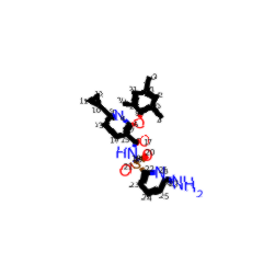 Cc1cc(C)c(Oc2nc(C3CC3)ccc2C(=O)NS(=O)(=O)c2cccc(N)n2)c(C)c1